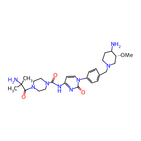 CO[C@@H]1CN(Cc2ccc(-n3ccc(NC(=O)N4CCN(C(=O)C(C)(C)N)CC4)nc3=O)cc2)CCC1N